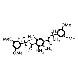 COc1cc(OC)cc(C(C)(C)OC(=O)c2cc(N)c(C(=O)OC(C)(C)c3cc(OC)cc(OC)c3)c(N)c2C)c1